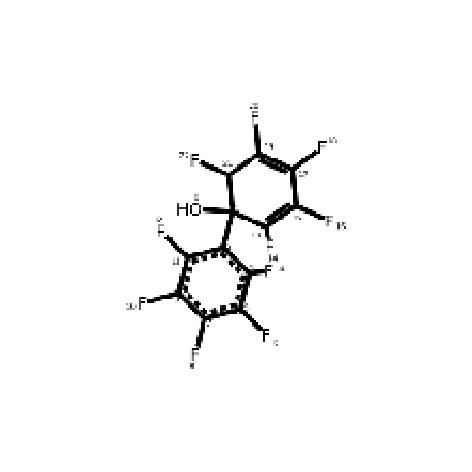 OC1(c2c(F)c(F)c(F)c(F)c2F)C(F)=C(F)C(F)=C(F)C1F